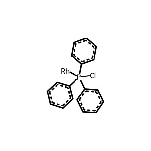 Cl[P]([Rh])(c1ccccc1)(c1ccccc1)c1ccccc1